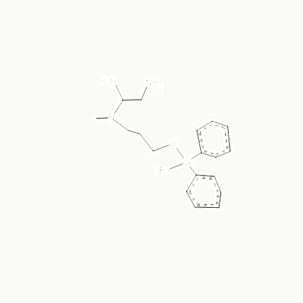 CN(CCCO[Si](c1ccccc1)(c1ccccc1)C(C)(C)C)C(CN)C(F)(F)F